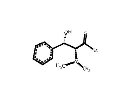 CCC(=O)[C@H]([C@@H](O)c1ccccc1)N(C)C